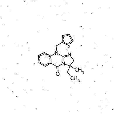 CCC1(C)CN=C2N(Cc3cccs3)c3ccccc3C(=O)N21